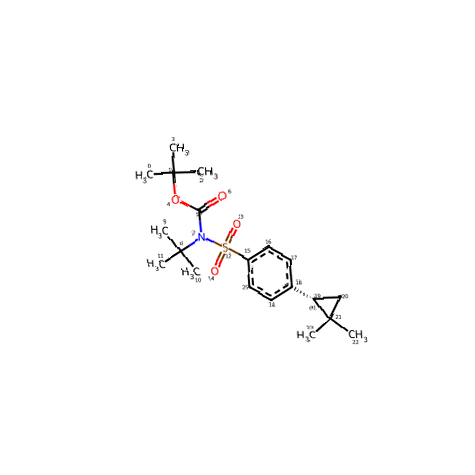 CC(C)(C)OC(=O)N(C(C)(C)C)S(=O)(=O)c1ccc([C@@H]2CC2(C)C)cc1